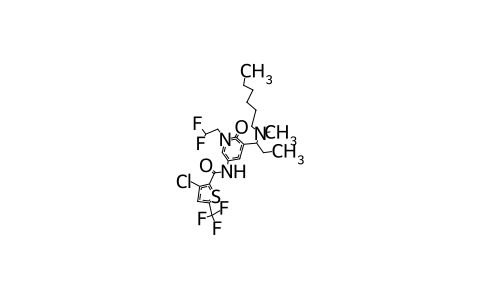 CCCCCCN(C)C(CC)c1cc(NC(=O)c2sc(C(F)(F)F)cc2Cl)cn(CC(F)F)c1=O